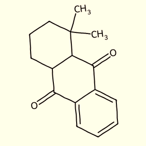 CC1(C)CCCC2C(=O)c3ccccc3C(=O)C21